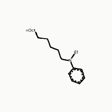 CCCCCCCCCCCCCN(CC)c1ccccc1